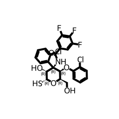 O=C(N[C@]1(c2ccccc2Cl)[C@@H](O)[C@@H](S)O[C@H](CO)[C@@H]1Oc1ccccc1Cl)c1cc(F)c(F)c(F)c1